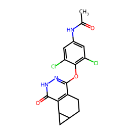 CC(=O)Nc1cc(Cl)c(Oc2n[nH]c(=O)c3c2CCC2CC32)c(Cl)c1